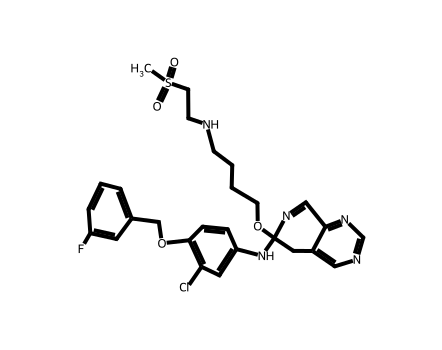 CS(=O)(=O)CCNCCCCOC1(Nc2ccc(OCc3cccc(F)c3)c(Cl)c2)Cc2cncnc2C=N1